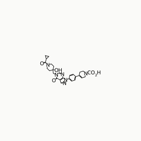 O=C(O)N1CC=C(c2ccc(-n3ncc4c(=O)n(CC5(O)CCN(C(=O)C6CC6)CC5)cnc43)cc2)CC1